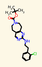 CC(C)(C)OC(=O)N1CCc2cnc(NCCc3ccccc3Cl)nc2CC1